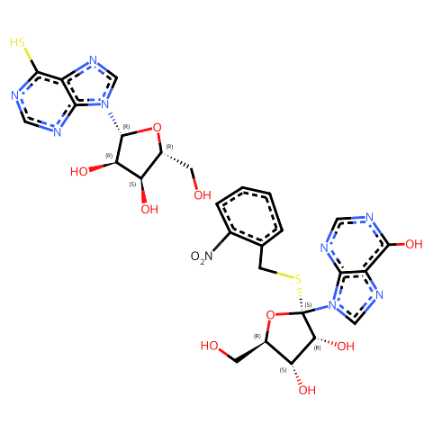 O=[N+]([O-])c1ccccc1CS[C@@]1(n2cnc3c(O)ncnc32)O[C@H](CO)[C@@H](O)[C@H]1O.OC[C@H]1O[C@@H](n2cnc3c(S)ncnc32)[C@H](O)[C@@H]1O